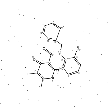 Cc1[nH]c(C)c(C(=O)N(Cc2ccccc2)c2c(C(C)C)cccc2C(C)C)c(=O)c1F